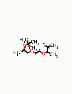 CC(COCCOC(C)C(C)C)OC(C)(C)C